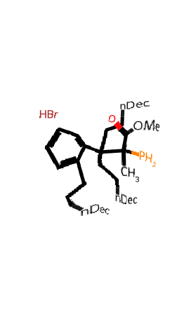 Br.CCCCCCCCCCCCc1ccccc1C(CCCCCCCCCCCC)(CCCCCCCCCCCC)C(C)(P)C(=O)OC